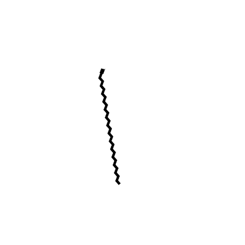 [C]#CCCCCCCCCCCCCCCCCCCCCCCCCCCCC